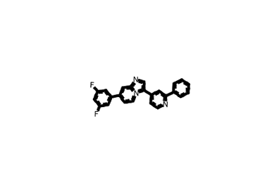 Fc1cc(F)cc(-c2ccn3c(-c4ccnc(-c5ccccc5)c4)cnc3c2)c1